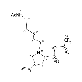 C=CC1CC(C(=O)OC(=O)C(F)(F)F)N(CCSCCNC(C)=O)C1